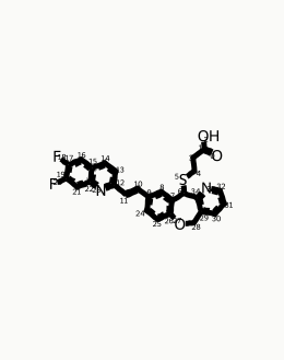 O=C(O)CCSC1c2cc(/C=C/c3ccc4cc(F)c(F)cc4n3)ccc2OCc2cccnc21